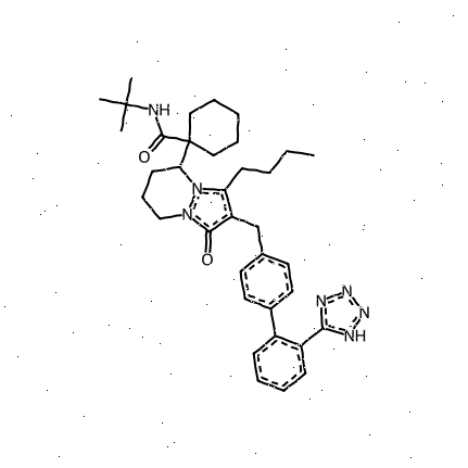 CCCCc1c(Cc2ccc(-c3ccccc3-c3nnn[nH]3)cc2)c(=O)n2n1C(C1(C(=O)NC(C)(C)C)CCCCC1)CCC2